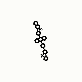 CC1(C)c2ccccc2-c2ccc(-c3ccc(-c4c5ccccc5c(-c5ccc6c(c5)oc5cc7ccccc7cc56)c5ccccc45)cc3)cc21